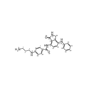 NCCCNc1ccc(C(=O)Nc2ccc(Nc3ccccc3)c3c2C(=O)NC3)cc1